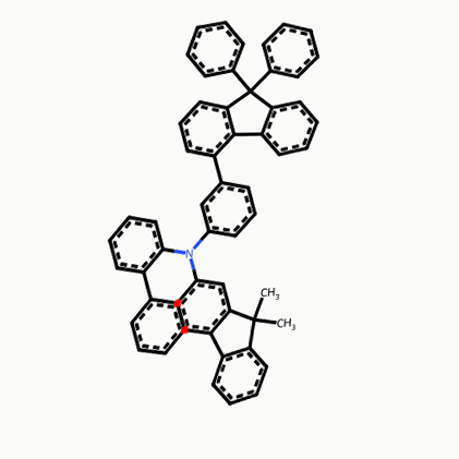 CC1(C)c2ccccc2-c2ccc(N(c3cccc(-c4cccc5c4-c4ccccc4C5(c4ccccc4)c4ccccc4)c3)c3ccccc3-c3ccccc3)cc21